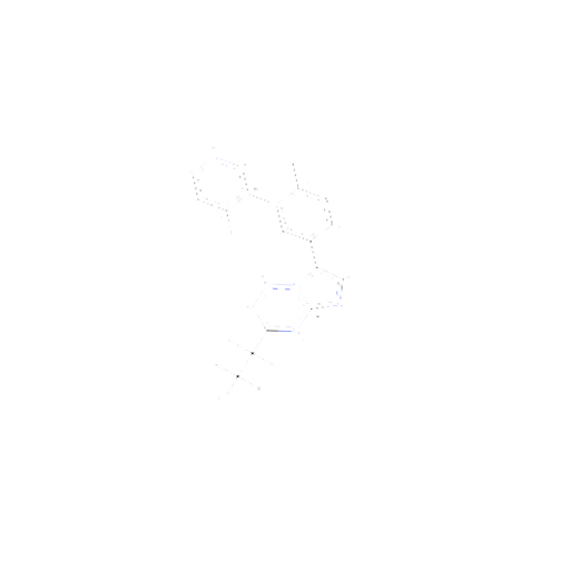 [2H]C([2H])([2H])C(C)(C)c1cnn2c(-c3ccc(C)c(-c4cnccc4F)c3)cnc2n1